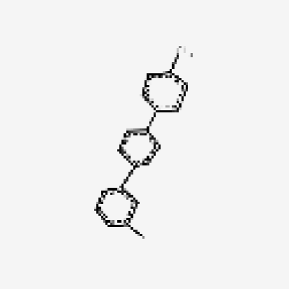 Cc1ccc(-c2ccc(-c3cccc(I)c3)cc2)cc1